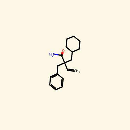 C=CC(Cc1ccccc1)(CC1CCCCC1)C(N)=O